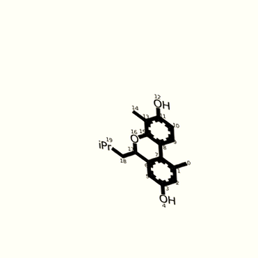 Cc1cc(O)cc2c1-c1ccc(O)c(C)c1OC2CC(C)C